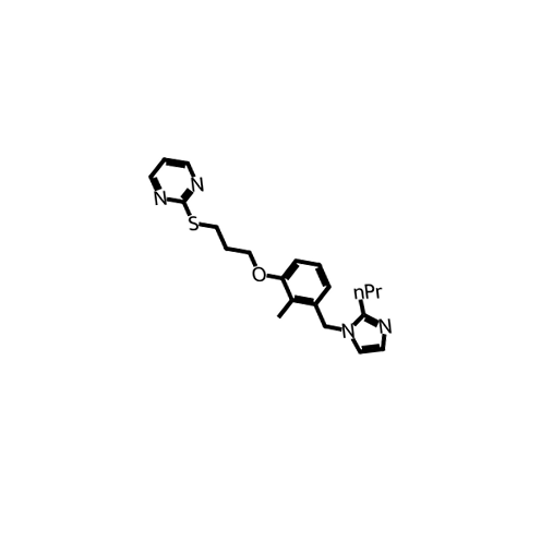 CCCc1nccn1Cc1cccc(OCCCSc2ncccn2)c1C